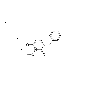 COn1c(=O)ccn(Cc2ccccc2)c1=O